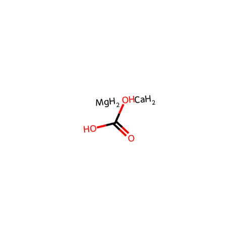 O=C(O)O.[CaH2].[MgH2]